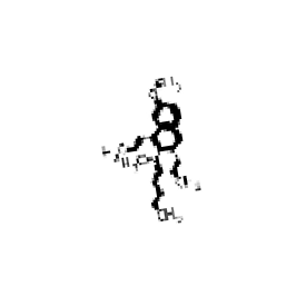 CCCCCN(C)[C@H]1[C@@H](CCC)Cc2ccc(OC)cc2[C@H]1CCC